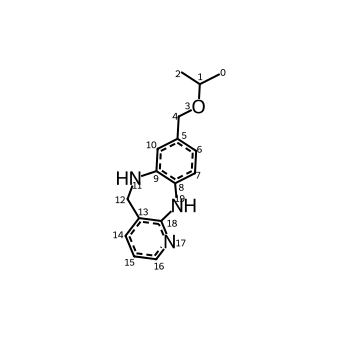 CC(C)OCc1ccc2c(c1)NCc1cccnc1N2